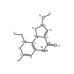 CCN1CC(C)=CC2=C1N1CN(OC)C=C1C(=O)N2